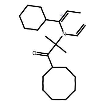 C=CN(/C(=C\C)C1CCCCC1)C(C)(C)C(=O)C1CCCCCCC1